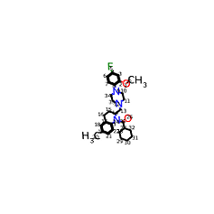 COc1cc(F)ccc1N1CCN(CC2CCc3cc(C)ccc3N2C(=O)C2CCCCC2)CC1